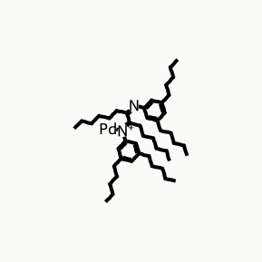 CCCCCCC(=Nc1cc(CCCCC)cc(CCCCC)c1)C(CCCCCC)=[N+]([Pd])c1cc(CCCCC)cc(CCCCC)c1